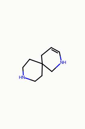 C1=CNCC2(C1)CCNCC2